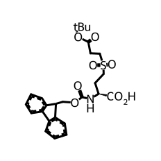 CC(C)(C)OC(=O)CCS(=O)(=O)CC[C@H](NC(=O)OCC1c2ccccc2-c2ccccc21)C(=O)O